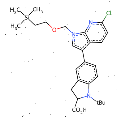 CC(C)(C)N1c2ccc(-c3cn(COCC[Si](C)(C)C)c4nc(Cl)ccc34)cc2CC1C(=O)O